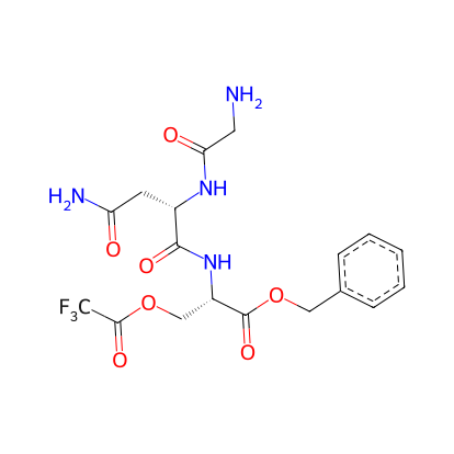 NCC(=O)N[C@@H](CC(N)=O)C(=O)N[C@@H](COC(=O)C(F)(F)F)C(=O)OCc1ccccc1